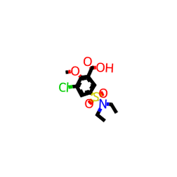 CCN(CC)S(=O)(=O)c1cc(Cl)c(OC)c(C(=O)O)c1